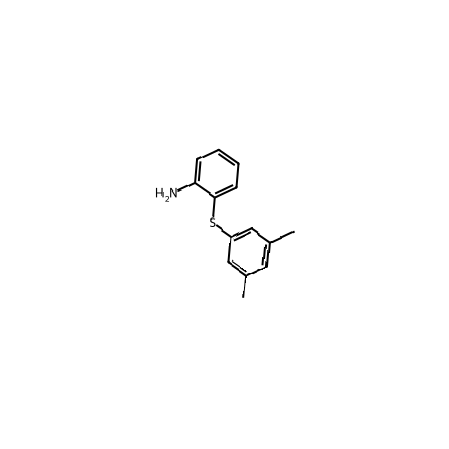 Cc1cc(C)cc(Sc2ccccc2N)c1